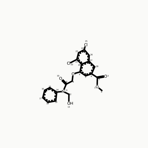 COC(=O)c1cc(OCC(=O)N(CO)c2ccccc2)c2c(Cl)cc(Cl)cc2c1